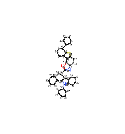 c1ccc(-c2cccc3c2sc2ccc4nc(-c5cc6ccccc6c6c5c5ccccc5n6-c5ccccc5)oc4c23)cc1